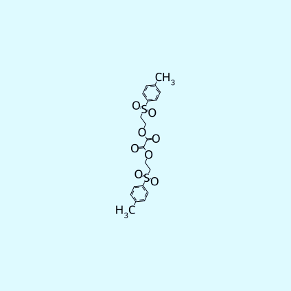 Cc1ccc(S(=O)(=O)CCOC(=O)C(=O)OCCS(=O)(=O)c2ccc(C)cc2)cc1